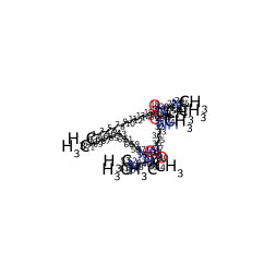 CCCCCCCCCCCCCCCCCC(=O)N(CCCN(CC)CC)C(C(=O)NCCCCCCNC(=O)C(C(C)C)N(CCCN(CC)CC)C(=O)CCCCCCCCCCCCCCCCC)C(C)C